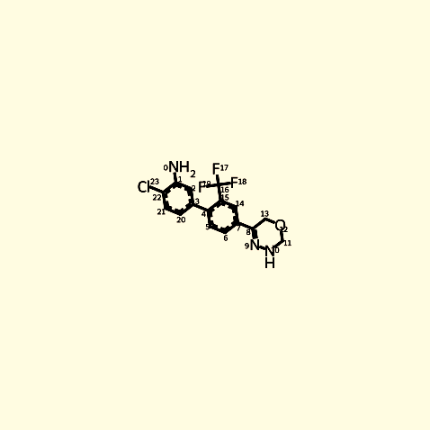 Nc1cc(-c2ccc(C3=NNCOC3)cc2C(F)(F)F)ccc1Cl